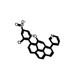 O=[N+]([O-])c1ccc(-c2ccc3ccc4ccc(-c5cccnc5)c5cc(O)c2c3c45)c(Cl)c1